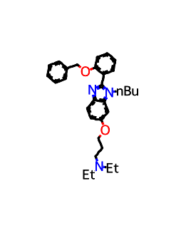 CCCCn1c(-c2ccccc2OCc2ccccc2)nc2ccc(OCCCN(CC)CC)cc21